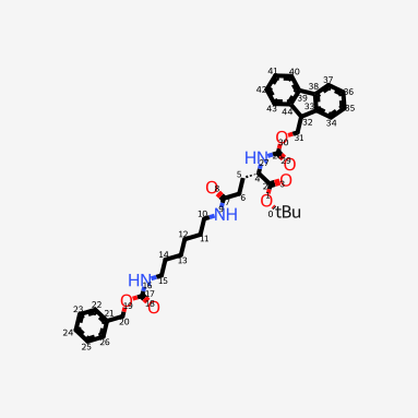 CC(C)(C)OC(=O)[C@H](CCC(=O)NCCCCCCNC(=O)OCc1ccccc1)NC(=O)OCC1c2ccccc2-c2ccccc21